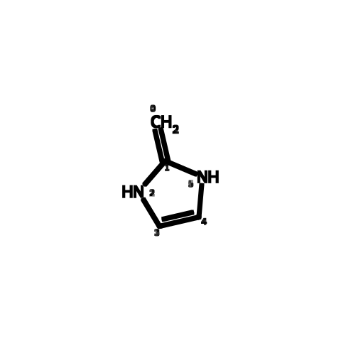 C=C1NC=CN1